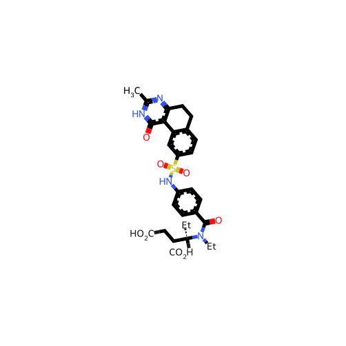 CCN(C(=O)c1ccc(NS(=O)(=O)c2ccc3c(c2)-c2c(nc(C)[nH]c2=O)CC3)cc1)[C@](CC)(CCC(=O)O)C(=O)O